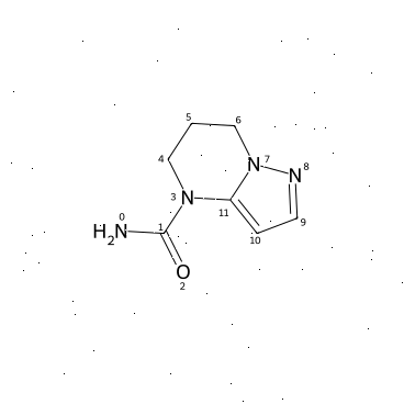 NC(=O)N1CCCn2nccc21